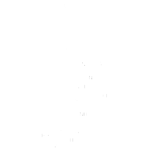 CC(C)(CC(=O)NCC(=O)OC(C)(C)C)CN1C(=O)c2cc3oc(-c4ccc(Cl)cc4)cc3n2C1=S